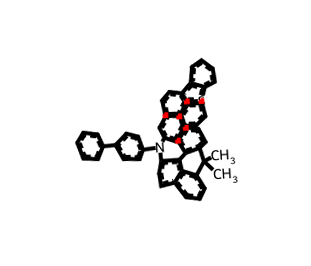 CC1(C)c2ccc(-c3cccc4c3sc3ccccc34)cc2-c2c(N(c3ccc(-c4ccccc4)cc3)c3ccc4ccccc4c3)ccc3cccc1c23